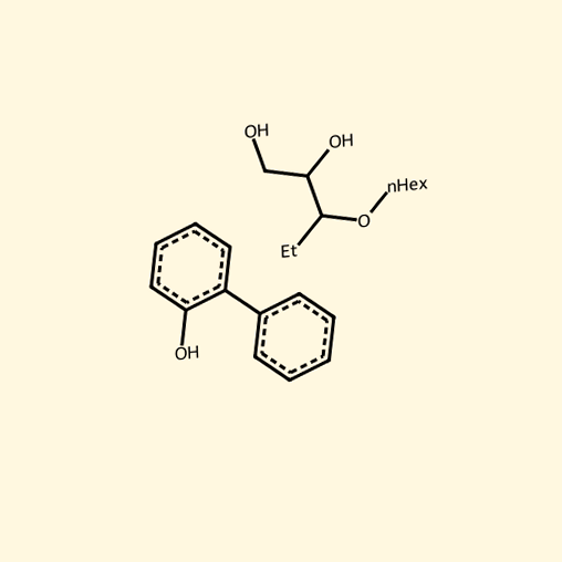 CCCCCCOC(CC)C(O)CO.Oc1ccccc1-c1ccccc1